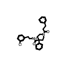 O=C(CCc1ccccc1)N1CCC(C(=O)NCCc2cccc(Cl)c2)(c2ccccc2)CC1